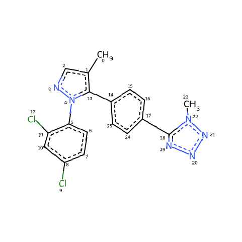 Cc1cnn(-c2ccc(Cl)cc2Cl)c1-c1ccc(-c2nnnn2C)cc1